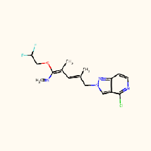 C=N/C(OCC(F)F)=C(C)\C=C(/C)Cn1cc2c(Cl)nccc2n1